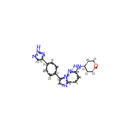 c1cc(-c2cnc3ccc(NC4CCOCC4)nn23)ccc1-c1cn[nH]n1